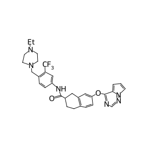 CCN1CCN(Cc2ccc(NC(=O)C3CCc4ccc(Oc5ncnn6cccc56)cc4C3)cc2C(F)(F)F)CC1